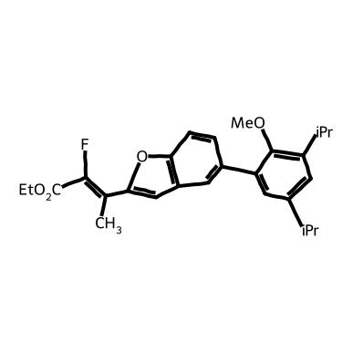 CCOC(=O)/C(F)=C(\C)c1cc2cc(-c3cc(C(C)C)cc(C(C)C)c3OC)ccc2o1